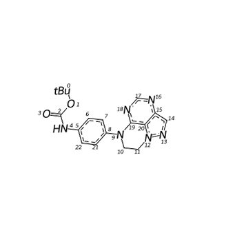 CC(C)(C)OC(=O)Nc1ccc(N2CCn3ncc4ncnc2c43)cc1